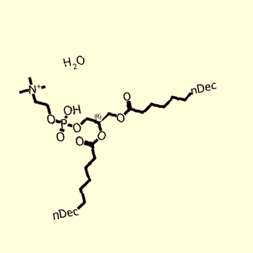 CCCCCCCCCCCCCCCC(=O)OC[C@H](COP(=O)(O)OCC[N+](C)(C)C)OC(=O)CCCCCCCCCCCCCCC.O